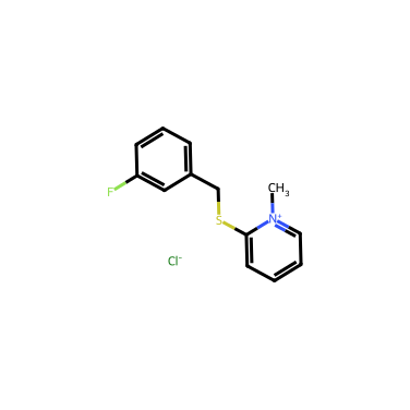 C[n+]1ccccc1SCc1cccc(F)c1.[Cl-]